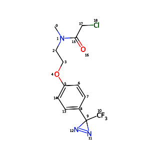 CN(CCOc1ccc(C2(C(F)(F)F)N=N2)cc1)C(=O)CCl